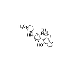 CN1CCC[C@@H](Nc2nnc(-c3ccc4sccc4c3O)c(N(C)C)n2)C1